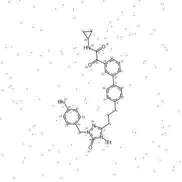 CCn1c(CCCc2ccc(-c3cccc(C(=O)C(=O)NC4CC4)c3)cc2)nn(Cc2ccc(C(C)(C)C)cc2)c1=O